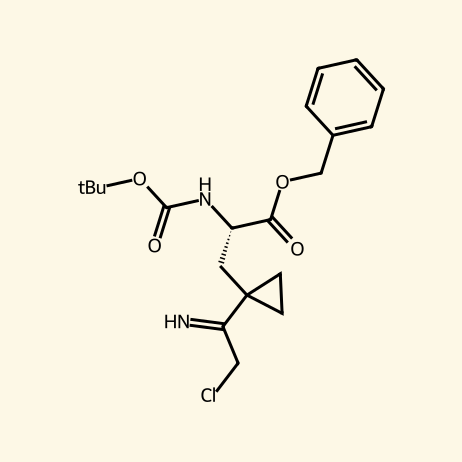 CC(C)(C)OC(=O)N[C@@H](CC1(C(=N)CCl)CC1)C(=O)OCc1ccccc1